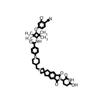 CC1(C)[C@H](NC(=O)c2ccc(N3CCC(CN4CC5(Cc6cc7c(cc6C5)C(=O)N(C5CCC(O)NC5=O)C7=O)C4)CC3)cc2)C(C)(C)[C@H]1Oc1ccc(C#N)c(Cl)c1